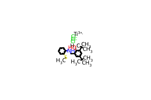 CSc1ccccc1NCc1cc(C(C)(C)C)cc(C(C)(C)C)c1O.[Cl-].[Cl-].[Cl-].[Ti+3]